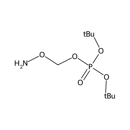 CC(C)(C)OP(=O)(OCON)OC(C)(C)C